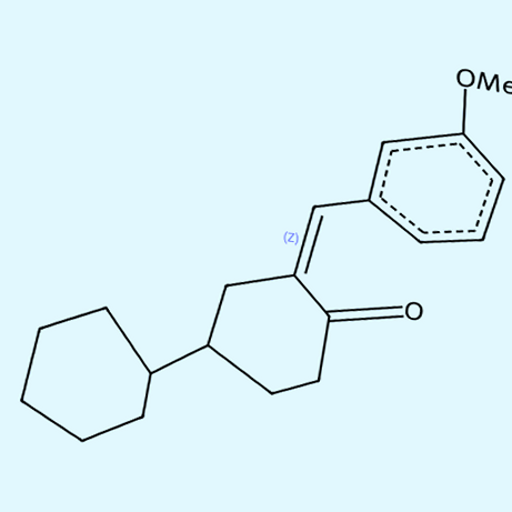 COc1cccc(/C=C2/CC(C3CCCCC3)CCC2=O)c1